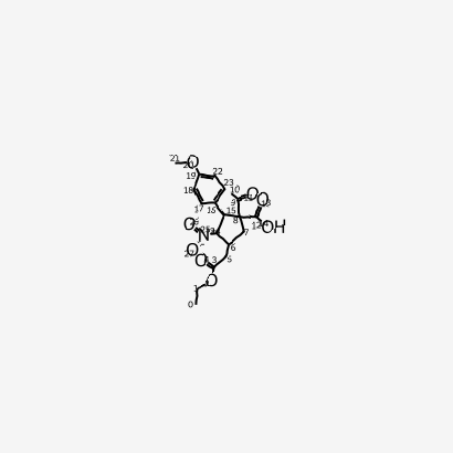 CCOC(=O)CC1CC(C(C)=O)(C(=O)O)C(c2ccc(OC)cc2)C1[N+](=O)[O-]